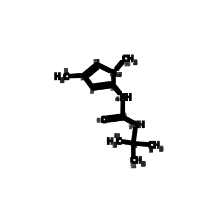 Cc1cc(NC(=O)NC(C)(C)C)n(C)c1